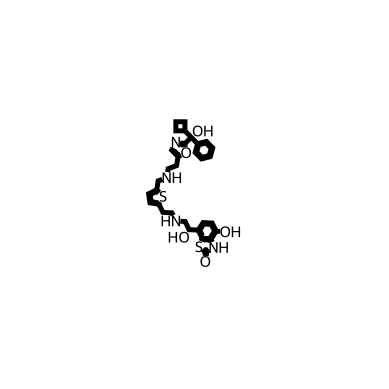 O=c1[nH]c2c(O)ccc([C@@H](O)CNCCc3ccc(CNCCc4cnc(C(O)(c5ccccc5)C5CCC5)o4)s3)c2s1